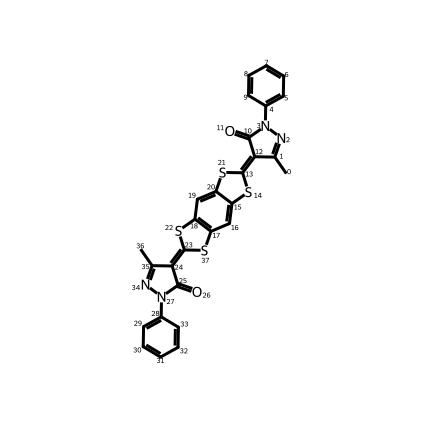 CC1=NN(c2ccccc2)C(=O)C1=C1Sc2cc3c(cc2S1)SC(=C1C(=O)N(c2ccccc2)N=C1C)S3